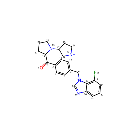 O=C(c1ccc(Cn2cnc3cccc(F)c32)cc1)C1CCCN1C1CCNC1